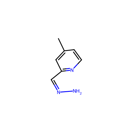 Cc1ccnc(/C=N\N)c1